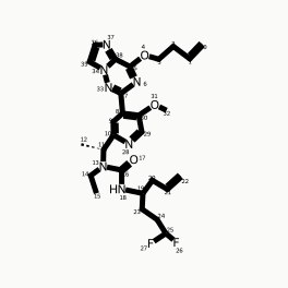 C=CCCOc1nc(-c2cc([C@@H](C)N(CC)C(=O)NC(CC=C)CCC(F)F)ncc2OC)nn2ccnc12